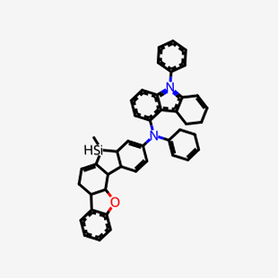 C[SiH]1C2=CCC3c4ccccc4OC3C2C2C=CC(N(C3=CC=CCC3)c3cccc4c3c3c(n4-c4ccccc4)C=CCC3)=CC21